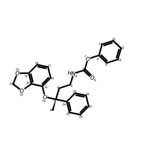 C[C@](CCNC(=O)Oc1ccccc1)(Oc1cccc2c1OCO2)c1ccccc1